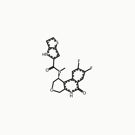 CN(C(=O)c1cc2sccc2[nH]1)[C@@H]1COCc2[nH]c(=O)c3cc(F)c(F)cc3c21